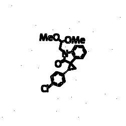 COC(CN1C(=O)C2(C[C@@H]2c2ccc(Cl)cc2)c2ccccc21)OC